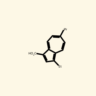 CCc1cc(C(=O)O)c2ccc(C(C)C)ccc1-2